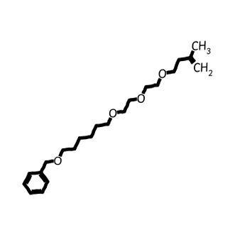 C=C(C)CCOCCOCCOCCCCCCOCc1ccccc1